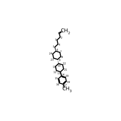 C=CCCCC[C@H]1CC[C@H](C2CCC(c3ccc(C)cc3)CC2)CC1